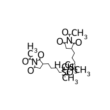 CC(=O)N1C(=O)CC(CCCC[Si](C)(C)O[Si](C)(C)CCCC2CC(=O)N(C(C)=O)C2=O)C1=O